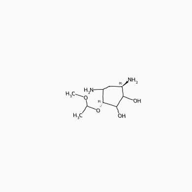 COC(C)O[C@@H]1C(N)C[C@@H](N)C(O)C1O